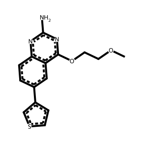 COCCOc1nc(N)nc2ccc(-c3ccsc3)cc12